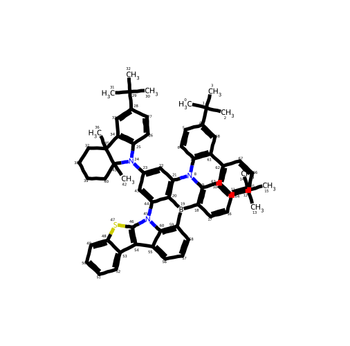 CC(C)(C)c1ccc(N2c3cc(C(C)(C)C)ccc3B3c4c2cc(N2c5ccc(C(C)(C)C)cc5C5(C)CCCCC25C)cc4-n2c4sc5ccccc5c4c4cccc3c42)c(-c2ccccc2)c1